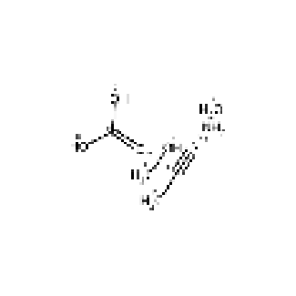 CC#N.CO.N.O.O=C(O)O